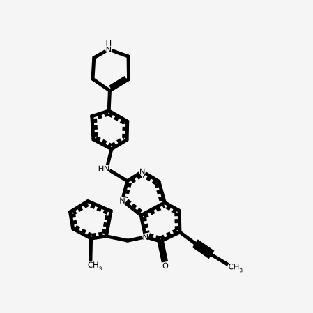 CC#Cc1cc2cnc(Nc3ccc(C4=CCNCC4)cc3)nc2n(Cc2ccccc2C)c1=O